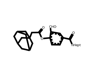 CCCCCCCC(=O)c1ccc(OC(=O)CC23CC4CC(CC(C4)C2)C3)c([C]=O)c1